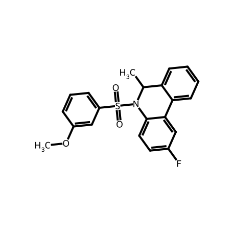 COc1cccc(S(=O)(=O)N2c3ccc(F)cc3-c3ccccc3C2C)c1